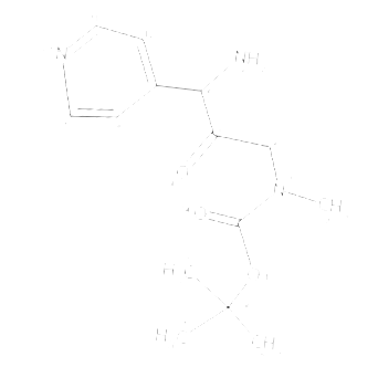 CN(CC(=O)C(N)c1ccncc1)C(=O)OC(C)(C)C